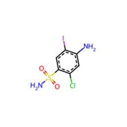 Nc1cc(Cl)c(S(N)(=O)=O)cc1I